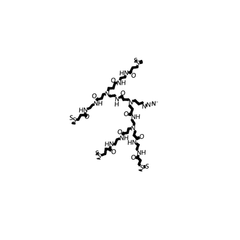 C#S(=S)CCC(=O)NCCNC(=O)CCN(CCNC(=O)CCN(CCCN=[N+]=[N-])CCC(=O)NCCN(CCC(=O)NCCNC(=O)CCS(#C)=S)CCC(=O)NCCNC(=O)CCS(#C)=S)CCC(=O)NCCNC(=O)CCS(#C)=S